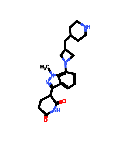 Cn1nc(C2CCC(=O)NC2=O)c2cccc(N3CC(CC4CCNCC4)C3)c21